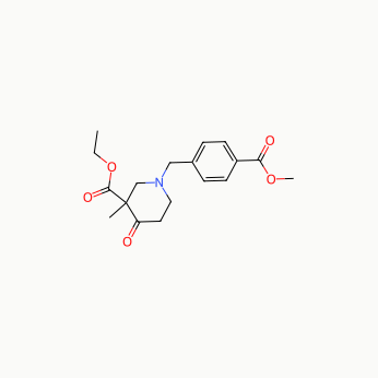 CCOC(=O)C1(C)CN(Cc2ccc(C(=O)OC)cc2)CCC1=O